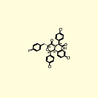 O=C(O)[C@H](c1ccc(Cl)cc1)N1C(=O)[C@@H](Cc2ccc(F)cc2)O[C@H](c2ccc(Cl)cc2)[C@@H]1c1ccc(Cl)cc1